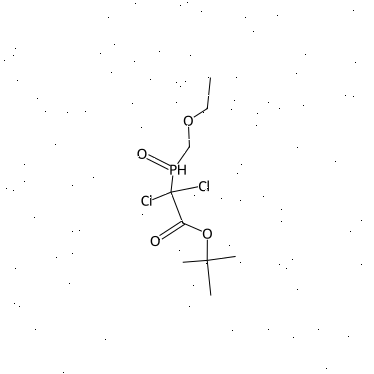 CCOC[PH](=O)C(Cl)(Cl)C(=O)OC(C)(C)C